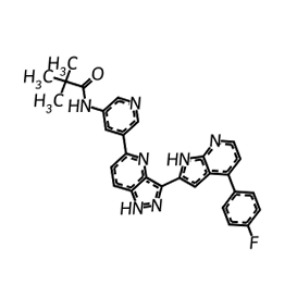 CC(C)(C)C(=O)Nc1cncc(-c2ccc3[nH]nc(-c4cc5c(-c6ccc(F)cc6)ccnc5[nH]4)c3n2)c1